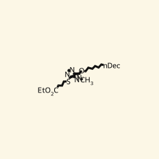 CCCCCCCCCCCCCCCCOc1c2ncnc(SCCCC(=O)OCC)c2nn1C